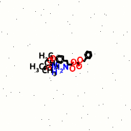 COc1ccc(C[C@@H](N)C(=O)OC(=O)OCc2ccccc2)cc1NC(=O)OC(C)(C)C